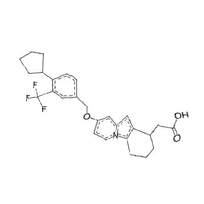 O=C(O)CC1CCCc2c1cc1cc(OCc3ccc(C4CCCC4)c(C(F)(F)F)c3)ccn21